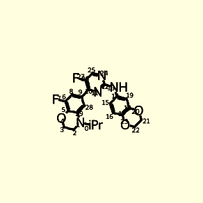 CC(C)N1CCOc2c(F)cc(-c3nc(Nc4ccc5c(c4)OCCO5)ncc3F)cc21